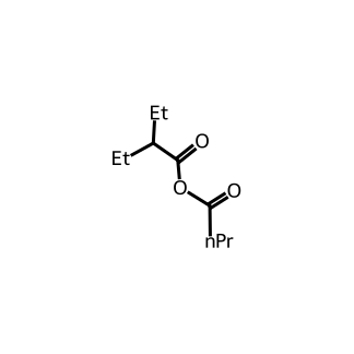 CCCC(=O)OC(=O)C(CC)CC